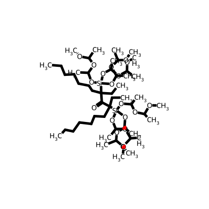 CCCCCCCC(CC)(C(=O)C(CC)(CCCCCCC)[Si](OC(C)OC(C)OC)(OC(C)OC(C)OC)OC(C)OC(C)OC)[Si](OC(C)OC(C)OC)(OC(C)OC(C)OC)OC(C)OC(C)OC